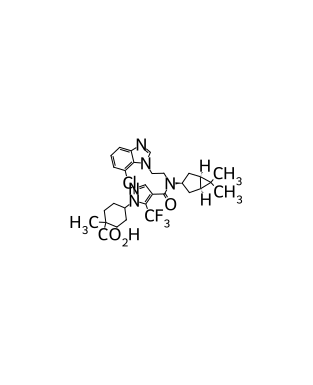 CC1(C(=O)O)CCC(n2ncc(C(=O)N(CCn3cnc4cccc(Cl)c43)[C@H]3C[C@@H]4[C@H](C3)C4(C)C)c2C(F)(F)F)CC1